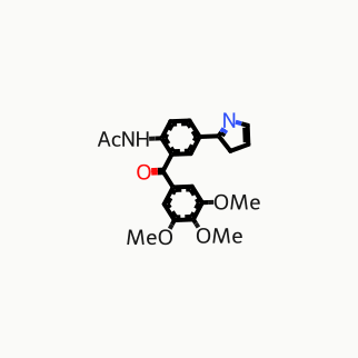 COc1cc(C(=O)c2cc(C3=NC=CC3)ccc2NC(C)=O)cc(OC)c1OC